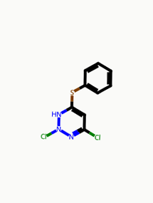 ClC1=NN(Cl)NC(Sc2ccccc2)=C1